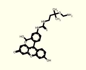 CC(C)(CCNC(=S)Nc1ccc(-c2c3ccc(=O)cc-3oc3cc(O)ccc23)c(C(=O)O)c1)OCN